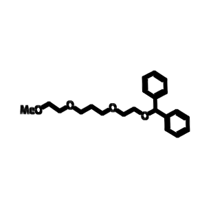 COCCOCCCOCCOC(c1ccccc1)c1ccccc1